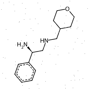 N[C@@H](CNCC1CCOCC1)c1ccccc1